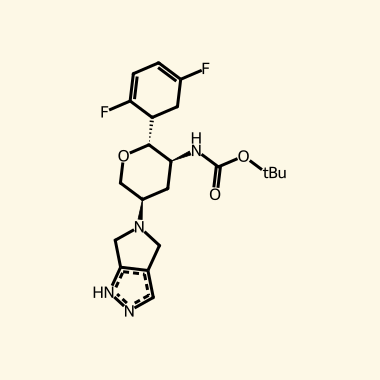 CC(C)(C)OC(=O)N[C@H]1C[C@@H](N2Cc3cn[nH]c3C2)CO[C@@H]1C1CC(F)=CC=C1F